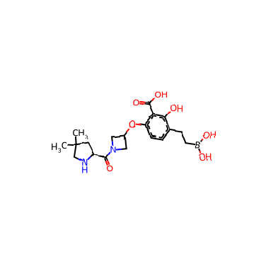 CC1(C)CN[C@H](C(=O)N2CC(Oc3ccc(CCB(O)O)c(O)c3C(=O)O)C2)C1